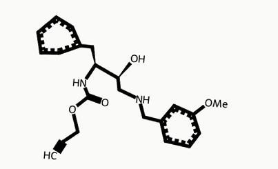 C#CCOC(=O)N[C@@H](Cc1ccccc1)[C@@H](O)CNCc1cccc(OC)c1